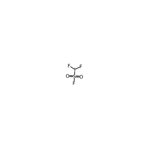 O=S(=O)(F)I(F)F